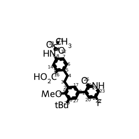 COc1c(CCc2ccc(NS(C)(=O)=O)cc2C(=O)O)cc(-c2cc(F)c[nH]c2=O)cc1C(C)(C)C